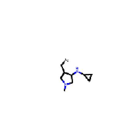 CC(=O)CC1CN(C)CC1NC1CC1